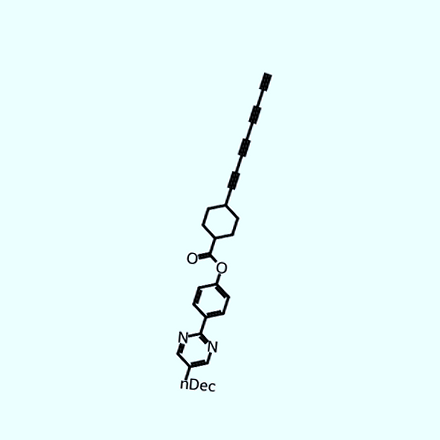 C#CC#CC#CC#CC1CCC(C(=O)Oc2ccc(-c3ncc(CCCCCCCCCC)cn3)cc2)CC1